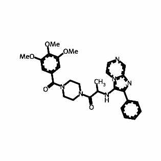 COc1cc(C(=O)N2CCN(C(=O)C(C)Nc3c(-c4ccccc4)nc4cnccn34)CC2)cc(OC)c1OC